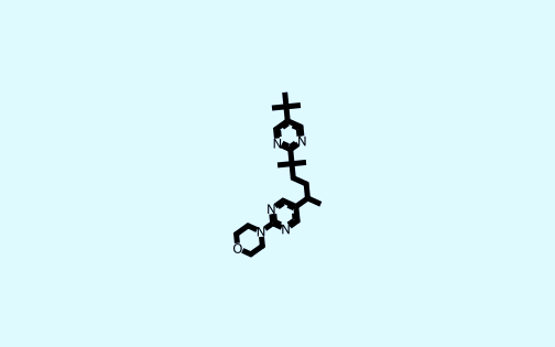 CC(CCC(C)(C)c1ncc(C(C)(C)C)cn1)c1cnc(N2CCOCC2)nc1